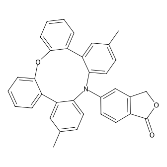 Cc1ccc2c(c1)-c1ccccc1Oc1ccccc1-c1cc(C)ccc1N2c1ccc2c(c1)COC2=O